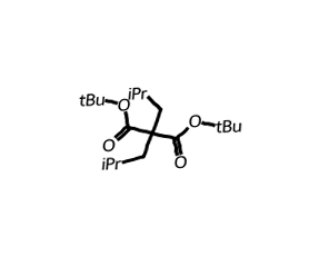 CC(C)CC(CC(C)C)(C(=O)OC(C)(C)C)C(=O)OC(C)(C)C